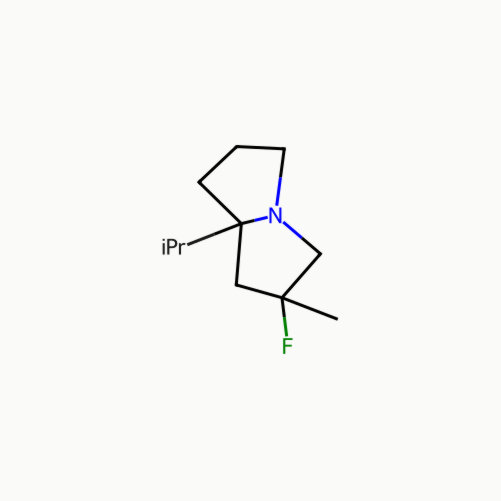 CC(C)C12CCCN1CC(C)(F)C2